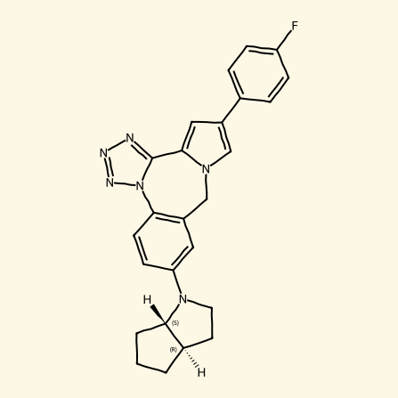 Fc1ccc(-c2cc3n(c2)Cc2cc(N4CC[C@H]5CCC[C@@H]54)ccc2-n2nnnc2-3)cc1